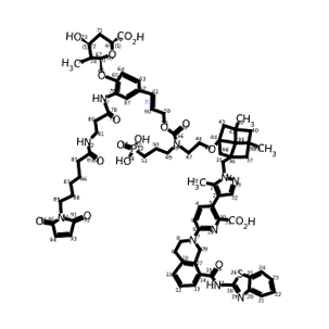 Cc1c(-c2ccc(N3CCc4cccc(C(=O)Nc5nc6ccccc6s5)c4C3)nc2C(=O)O)cnn1CC12CC3(C)CC4(C)CC(OCCN(CCCP(=O)(O)O)C(=O)OC/C=C/c5ccc(O[C@@H]6O[C@H](C(=O)O)C[C@H](O)C6C)c(NC(=O)CCNC(=O)CCCCCN6C(=O)C=CC6=O)c5)(C1)C342